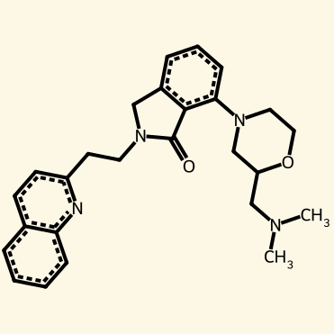 CN(C)CC1CN(c2cccc3c2C(=O)N(CCc2ccc4ccccc4n2)C3)CCO1